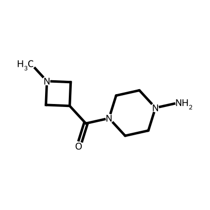 CN1CC(C(=O)N2CCN(N)CC2)C1